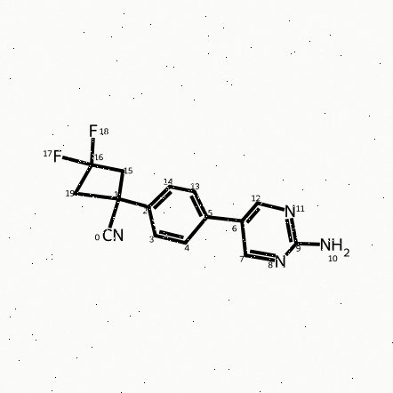 N#CC1(c2ccc(-c3cnc(N)nc3)cc2)CC(F)(F)C1